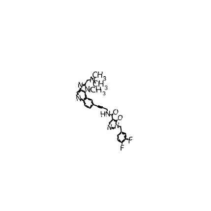 CN(C)Cc1nc2cnc3ccc(C#CCNC(=O)c4cncn(Cc5ccc(F)c(F)c5)c4=O)cc3c2n1C